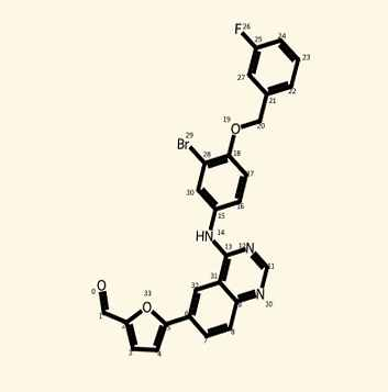 O=Cc1ccc(-c2ccc3ncnc(Nc4ccc(OCc5cccc(F)c5)c(Br)c4)c3c2)o1